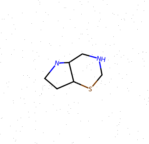 C1CC2SCNCC2[N]1